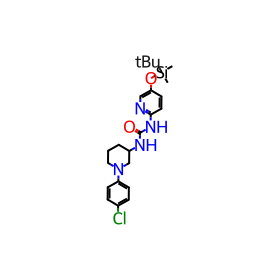 CC(C)(C)[Si](C)(C)Oc1ccc(NC(=O)NC2CCCN(c3ccc(Cl)cc3)C2)nc1